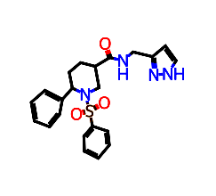 O=C(NCc1cc[nH]n1)C1CCC(c2ccccc2)N(S(=O)(=O)c2ccccc2)C1